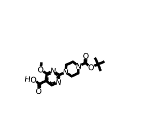 COc1nc(N2CCN(C(=O)OC(C)(C)C)CC2)ncc1C(=O)O